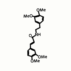 COc1ccc(C=CC(=O)NCCc2ccc(OC)c(OC)c2)cc1OC